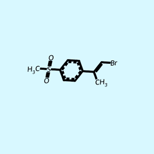 CC(=CBr)c1ccc(S(C)(=O)=O)cc1